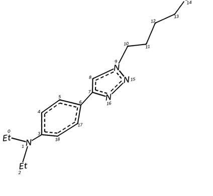 CCN(CC)c1ccc(-c2cn(CCCCO)nn2)cc1